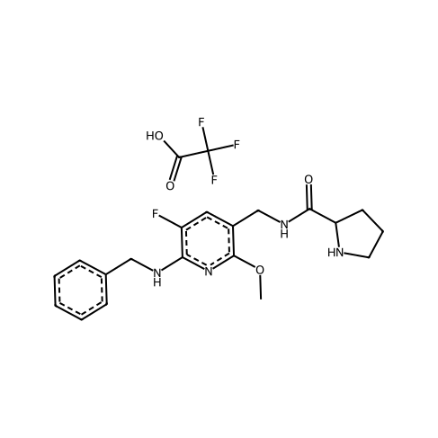 COc1nc(NCc2ccccc2)c(F)cc1CNC(=O)C1CCCN1.O=C(O)C(F)(F)F